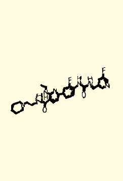 CCNc1nc(-c2ccc(NC(=O)NCc3cncc(F)c3)c(F)c2)ccc1C(=O)NCCN1CCCCC1